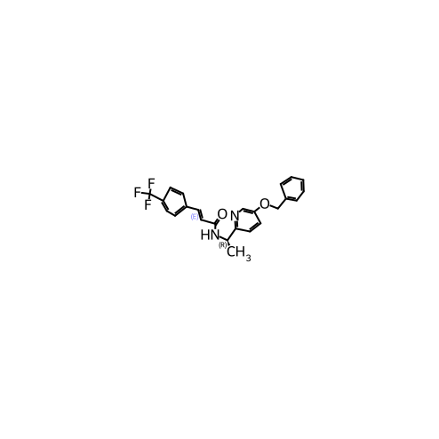 C[C@@H](NC(=O)/C=C/c1ccc(C(F)(F)F)cc1)c1ccc(OCc2ccccc2)cn1